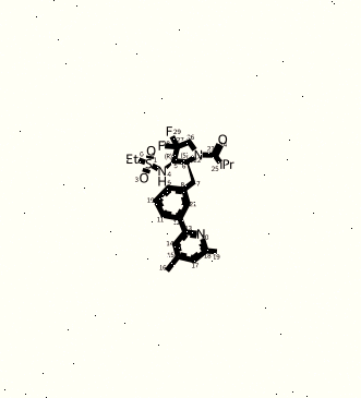 CCS(=O)(=O)N[C@@H]1[C@H](Cc2cccc(-c3cc(C)cc(C)n3)c2)N(C(=O)C(C)C)CC1(F)F